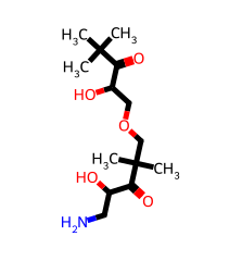 CC(C)(C)C(=O)C(O)COCC(C)(C)C(=O)C(O)CN